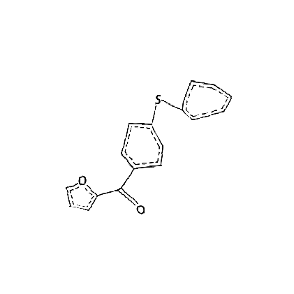 O=C(c1ccc(Sc2ccccc2)cc1)c1ccco1